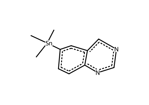 [CH3][Sn]([CH3])([CH3])[c]1ccc2ncncc2c1